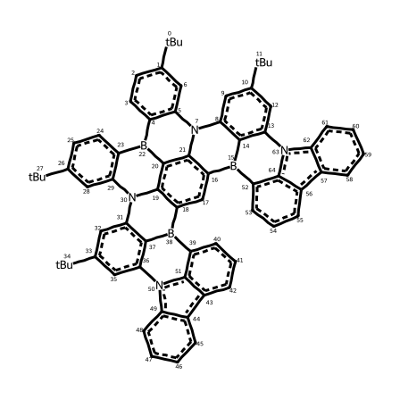 CC(C)(C)c1ccc2c(c1)N1c3cc(C(C)(C)C)cc4c3B(c3cc5c6c(c31)B2c1ccc(C(C)(C)C)cc1N6c1cc(C(C)(C)C)cc2c1B5c1cccc3c5ccccc5n-2c13)c1cccc2c3ccccc3n-4c12